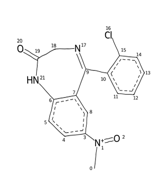 C[N+](=O)c1ccc2c(c1)C(c1ccccc1Cl)=NCC(=O)N2